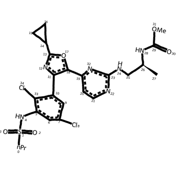 CCCS(=O)(=O)Nc1cc(Cl)cc(-c2nc(C3CC3)oc2-c2ccnc(NC[C@H](C)NC(=O)OC)n2)c1Cl